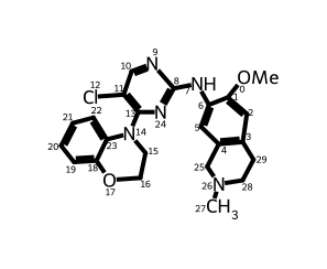 COc1cc2c(cc1Nc1ncc(Cl)c(N3CCOc4ccccc43)n1)CN(C)CC2